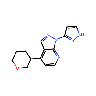 c1cc(C2CCCOC2)c2cnn(-c3cc[nH]n3)c2n1